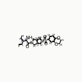 C=C/C(=C/C)[C@@H](N)C(=O)N1Cc2cn(S(=O)(=O)c3ccc4c(c3)OCCO4)nc2C1